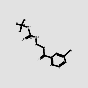 Cc1cccc(C(=O)CCNC(=O)OC(C)(C)C)c1